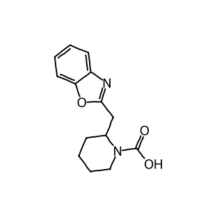 O=C(O)N1CCCCC1Cc1nc2ccccc2o1